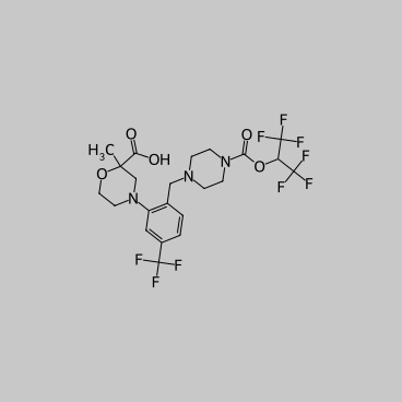 CC1(C(=O)O)CN(c2cc(C(F)(F)F)ccc2CN2CCN(C(=O)OC(C(F)(F)F)C(F)(F)F)CC2)CCO1